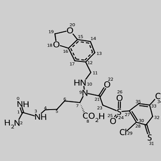 N=C(N)NCCC[C@@H](C(=O)O)N(NCc1ccc2c(c1)OCO2)C(=O)CS(=O)(=O)C1=C(Cl)C(=S)CC(Cl)=C1